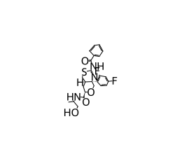 CC(CO)NC(=O)[C@H]1C[C@H]2CSC(NC(=O)c3ccccc3)=N[C@@]2(c2ccc(F)cc2F)CO1